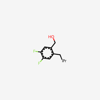 CC(C)Cc1cc(F)c(F)cc1CO